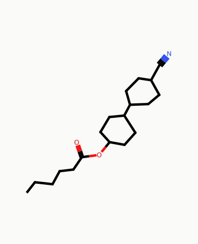 CCCCCC(=O)OC1CCC(C2CCC(C#N)CC2)CC1